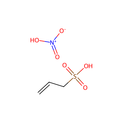 C=CCS(=O)(=O)O.O=[N+]([O-])O